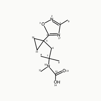 Cc1noc(C2(CC(C)(C)N(C)C(=O)O)CC2)n1